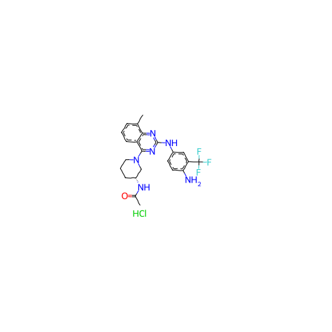 CC(=O)N[C@@H]1CCCN(c2nc(Nc3ccc(N)c(C(F)(F)F)c3)nc3c(C)cccc23)C1.Cl